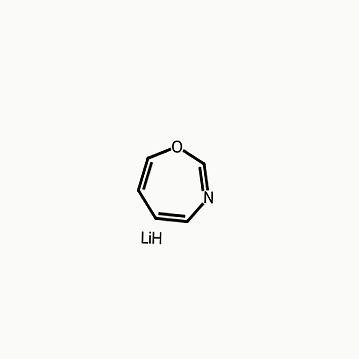 C1=CN=COC=C1.[LiH]